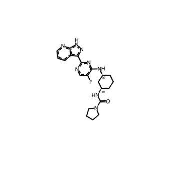 O=C(N[C@@H]1CCC[C@H](Nc2nc(-c3n[nH]c4ncccc34)ncc2F)C1)N1CCCC1